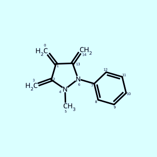 C=C1C(=C)N(C)N(c2ccccc2)C1=C